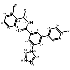 Cc1ccc(-c2cc(C(=O)NC(C)c3ccccc3F)cc(-n3cnnn3)c2)cc1